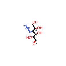 [N-]=[N+]=N[C@H]([C@H](O)[C@@H](O)C=O)[C@H](O)CO